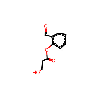 O=Cc1ccccc1OC(=O)CCO